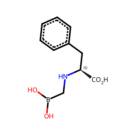 O=C(O)[C@H](Cc1ccccc1)NCB(O)O